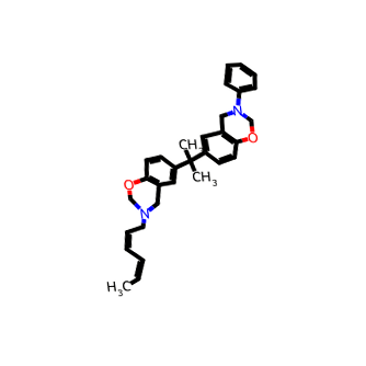 C/C=C\C=C/CN1COc2ccc(C(C)(C)c3ccc4c(c3)CN(c3ccccc3)CO4)cc2C1